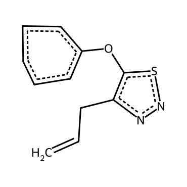 C=CCc1nnsc1Oc1ccccc1